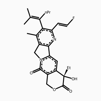 CCCC(=C(C)C)c1c(/C=C/F)nc2c(c1C)Cn1c-2cc2c(c1=O)COC(=O)[C@]2(O)CC